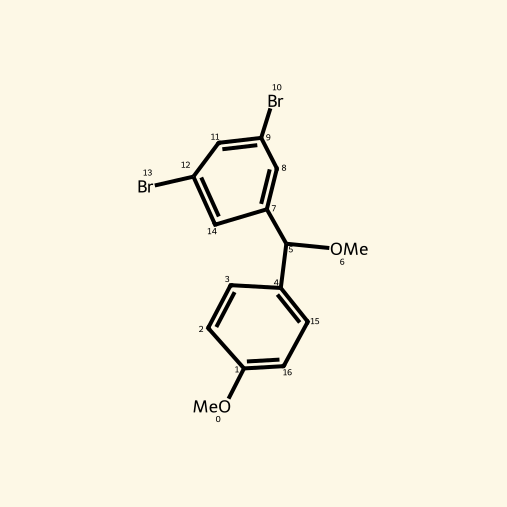 COc1ccc(C(OC)c2cc(Br)cc(Br)c2)cc1